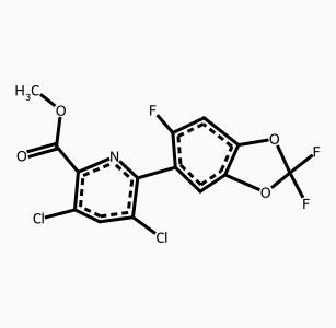 COC(=O)c1nc(-c2cc3c(cc2F)OC(F)(F)O3)c(Cl)cc1Cl